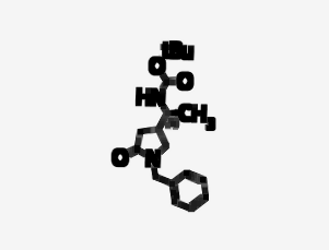 C[C@H](NC(=O)OC(C)(C)C)C1CC(=O)N(Cc2ccccc2)C1